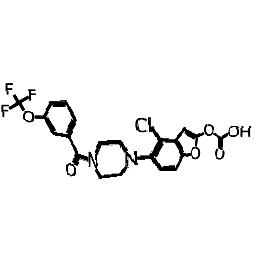 O=C(O)Oc1cc2c(Cl)c(N3CCN(C(=O)c4cccc(OC(F)(F)F)c4)CC3)ccc2o1